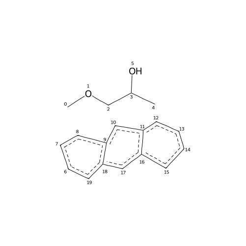 COCC(C)O.c1ccc2cc3ccccc3cc2c1